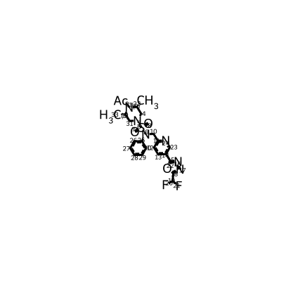 CC(=O)N1[C@H](C)CN(S(=O)(=O)N(Cc2ccc(-c3nnc(C(F)F)o3)cn2)c2ccccc2)C[C@@H]1C